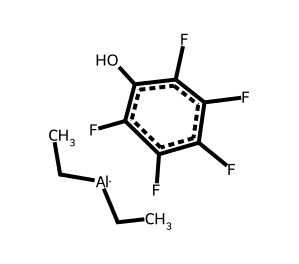 C[CH2][Al][CH2]C.Oc1c(F)c(F)c(F)c(F)c1F